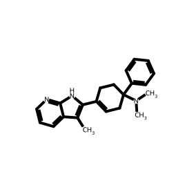 Cc1c(C2=CCC(c3ccccc3)(N(C)C)CC2)[nH]c2ncccc12